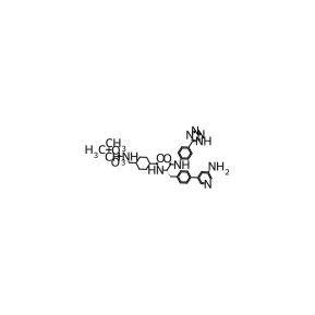 CC(C)(C)OC(=O)NCC1CCC(C(=O)N[C@@H](Cc2ccc(-c3cncc(N)c3)cc2)C(=O)Nc2ccc(-c3nnn[nH]3)cc2)CC1